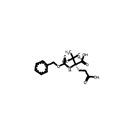 CC(C)(C)[C@](CCC(=O)O)(NC(=O)OCc1ccccc1)C(=O)O